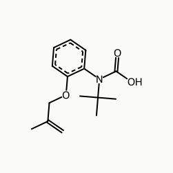 C=C(C)COc1ccccc1N(C(=O)O)C(C)(C)C